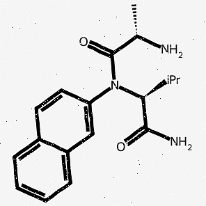 CC(C)[C@@H](C(N)=O)N(C(=O)[C@H](C)N)c1ccc2ccccc2c1